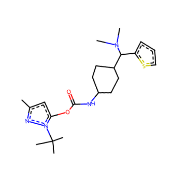 Cc1cc(OC(=O)NC2CCC(C(c3cccs3)N(C)C)CC2)n(C(C)(C)C)n1